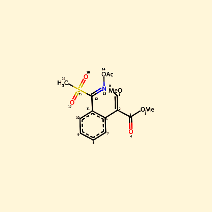 CO/C=C(/C(=O)OC)c1ccccc1C(=NOC(C)=O)S(C)(=O)=O